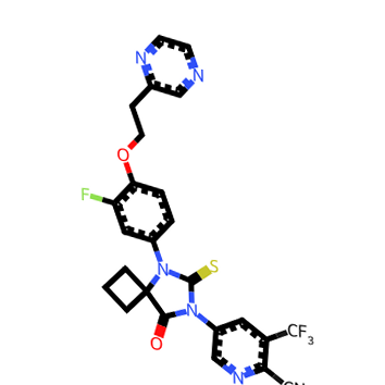 N#Cc1ncc(N2C(=O)C3(CCC3)N(c3ccc(OCCc4cnccn4)c(F)c3)C2=S)cc1C(F)(F)F